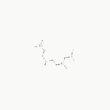 CN(C)CCN(C)CCN(C)CN(C)C